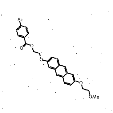 COCCOc1ccc2cc3cc(OCCOC(=O)c4ccc(C(C)=O)cc4)ccc3cc2c1